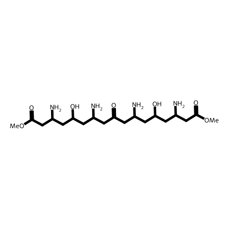 COC(=O)CC(N)CC(O)CC(N)CC(=O)CC(N)CC(O)CC(N)CC(=O)OC